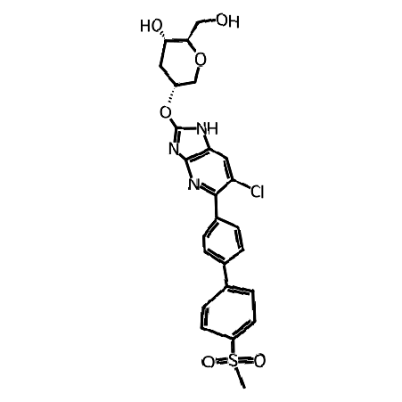 CS(=O)(=O)c1ccc(-c2ccc(-c3nc4nc(O[C@H]5CO[C@H](CO)[C@@H](O)C5)[nH]c4cc3Cl)cc2)cc1